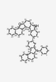 c1ccc(-n2c3cc(-c4ccc5[nH]c6ccc7oc8c9ccccc9ccc8c7c6c5c4)ccc3c3c4ccccc4ccc32)cc1